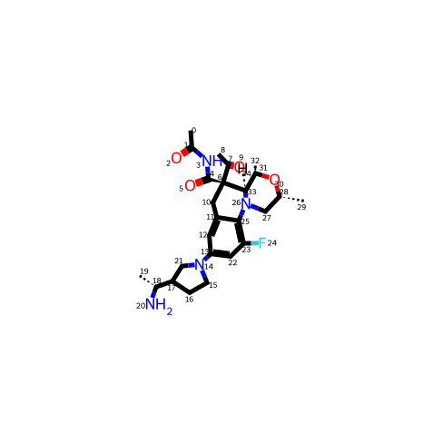 CC(=O)NC(=O)[C@]1(C(C)=O)Cc2cc(N3CCC([C@@H](C)N)C3)cc(F)c2N2C[C@@H](C)O[C@@H](C)[C@@H]21